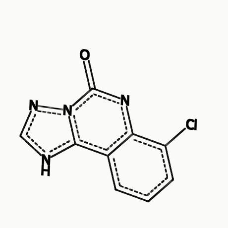 O=c1nc2c(Cl)cccc2c2[nH]cnn12